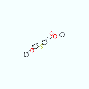 O=C(CCc1ccc(Sc2cccc(OCc3ccccc3)c2)cc1)OCc1ccccc1